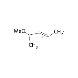 [CH2]/C=C/C(C)OC